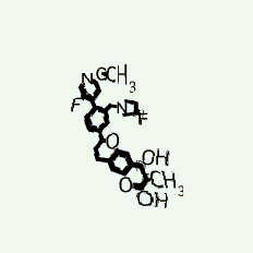 COc1cc(-c2ccc(C3CCc4ccc([C@H](O)[C@H](C)C(=O)O)cc4O3)cc2CN2CC[C@H](F)C2)c(F)cn1